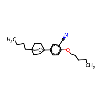 CCCCCOc1ccc(C23CCC(CCCC)(CC2)CC3)cc1C#N